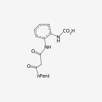 CCCCCC(=O)CC(=O)Nc1ccccc1NC(=O)O